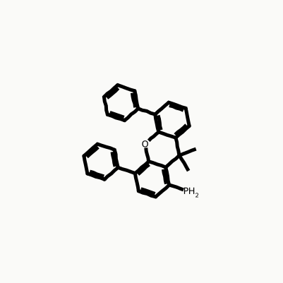 CC1(C)c2cccc(-c3ccccc3)c2Oc2c(-c3ccccc3)ccc(P)c21